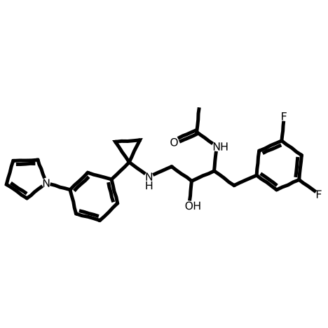 CC(=O)NC(Cc1cc(F)cc(F)c1)C(O)CNC1(c2cccc(-n3cccc3)c2)CC1